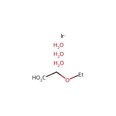 CCOCC(=O)O.O.O.O.[Ir]